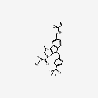 C=CC(=O)NCc1ccc2c(c1)c1c(n2Cc2ccc(C(=O)NO)cc2)CN(C(=O)N(C)C(C)=O)CC1C